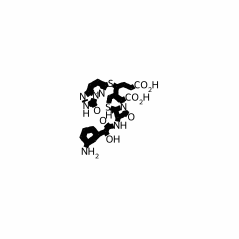 Nc1cccc(C(O)C(=O)NC2C(=O)N3C(C(=O)O)=C(C(CCC(=O)O)Sc4ccc5n[nH]c(=O)n5n4)CS[C@@H]23)c1